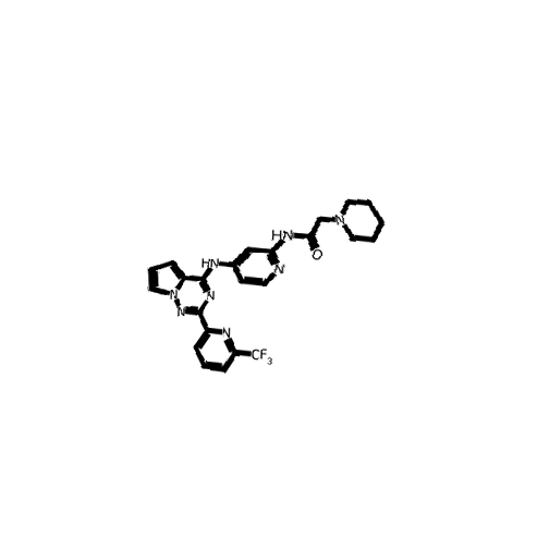 O=C(CN1CCCCC1)Nc1cc(Nc2nc(-c3cccc(C(F)(F)F)n3)nn3cccc23)ccn1